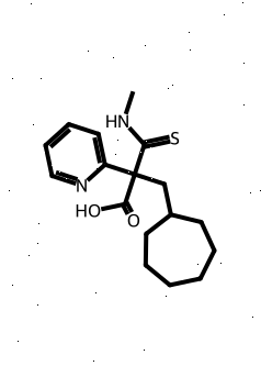 CNC(=S)C(CC1CCCCCC1)(C(=O)O)c1ccccn1